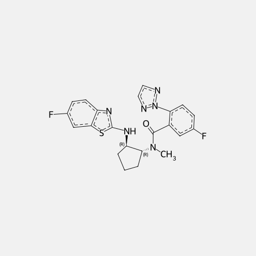 CN(C(=O)c1cc(F)ccc1-n1nccn1)[C@@H]1CCC[C@H]1Nc1nc2ccc(F)cc2s1